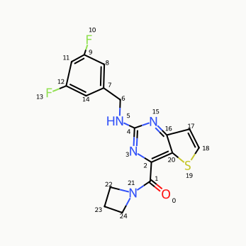 O=C(c1nc(NCc2cc(F)cc(F)c2)nc2ccsc12)N1CCC1